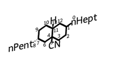 CCCCCCCC1CCC2(C#N)C[C@H](CCCCC)CC[C@@H]2C1